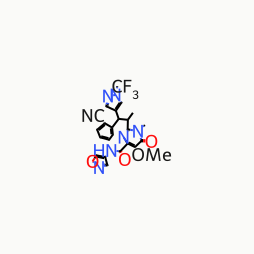 COc1c(C(=O)Nc2cnoc2)nc(C(C)C(c2cnn(C(F)(F)F)c2)c2ccccc2C#N)n(C)c1=O